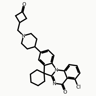 O=C1CC(CN2CCC(c3ccc4c(c3)C3(CCCCC3)c3nc(=O)c5c(Cl)cccc5n3-4)CC2)C1